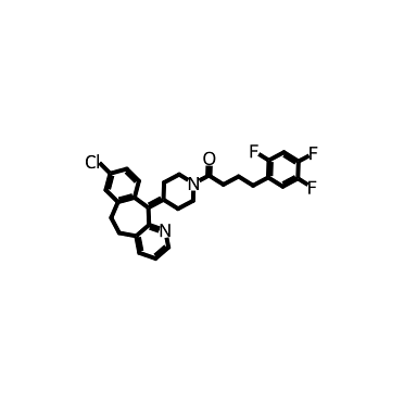 O=C(CCCc1cc(F)c(F)cc1F)N1CCC(=C2c3ccc(Cl)cc3CCc3cccnc32)CC1